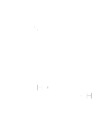 CC1=Cc2ccc3sc4ccccc4c3c2C1C